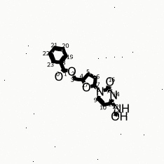 O=C(OCC1CCC(n2ccc(NO)nc2=O)O1)c1ccccc1